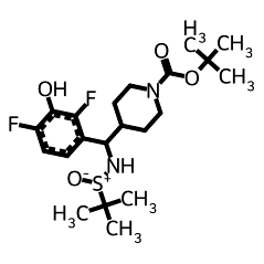 CC(C)(C)OC(=O)N1CCC(C(N[S+]([O-])C(C)(C)C)c2ccc(F)c(O)c2F)CC1